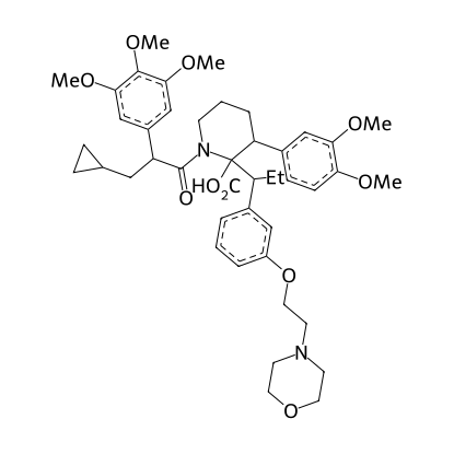 CCC(c1cccc(OCCN2CCOCC2)c1)C1(C(=O)O)C(c2ccc(OC)c(OC)c2)CCCN1C(=O)C(CC1CC1)c1cc(OC)c(OC)c(OC)c1